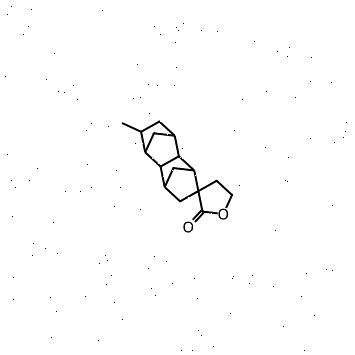 CC1CC2CC1C1C3CC(C21)C1(CCOC1=O)C3